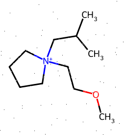 COCC[N+]1(CC(C)C)CCCC1